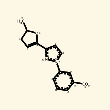 CC1CC=C(c2ccn(-c3cccc(C(=O)O)c3)n2)O1